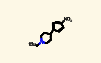 CC(C)(C)CN1CCC(c2ccc([N+](=O)[O-])cc2)CC1